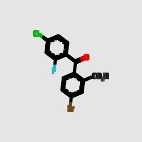 O=C(O)c1cc(Br)ccc1C(=O)c1ccc(Cl)cc1F